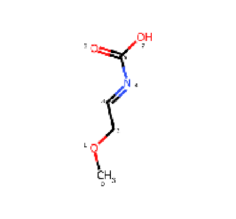 COCC=NC(=O)O